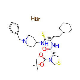 Br.CC(C)(C)OC(=O)N1CSC[C@H]1C(=O)N[C@H](CCC1CCCCC1)C(=S)NC1CCN(Cc2ccccc2)CC1